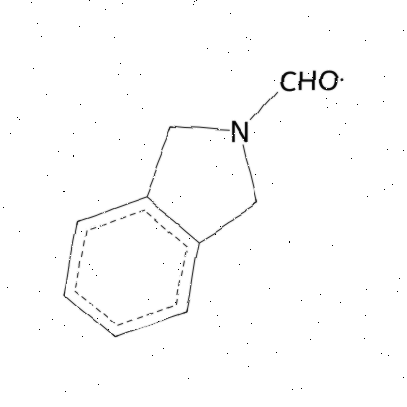 O=[C]N1Cc2ccccc2C1